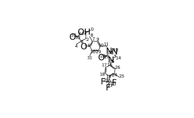 CCCC(C)(Oc1c(C)cc(Cn2ncn(-c3ccc(C(F)(F)F)c(C)c3)c2=O)cc1C)C(=O)O